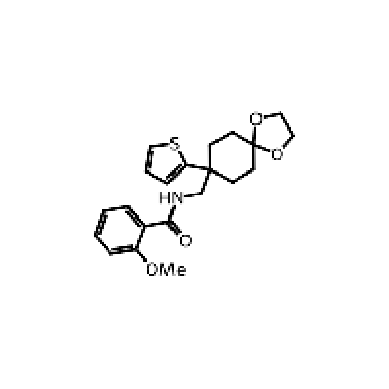 COc1ccccc1C(=O)NCC1(c2cccs2)CCC2(CC1)OCCO2